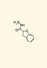 NNC(=O)C1Cc2ccccc2O1